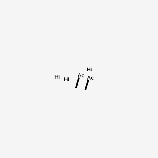 CC(C)=O.CC(C)=O.I.I.I